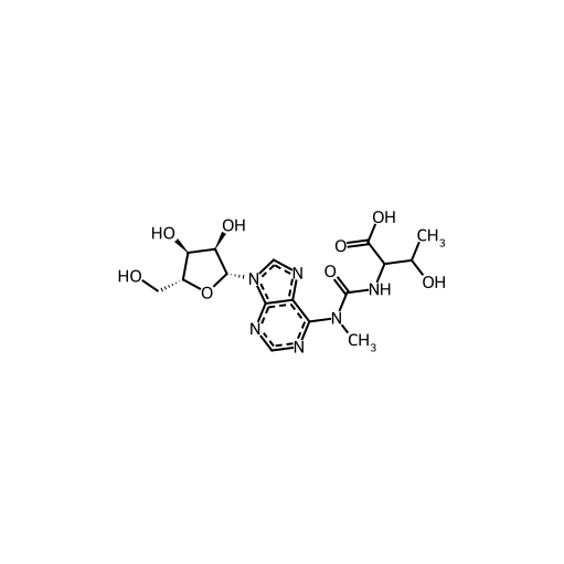 CC(O)C(NC(=O)N(C)c1ncnc2c1ncn2[C@@H]1O[C@H](CO)[C@@H](O)[C@H]1O)C(=O)O